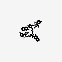 C=C(C=C/C=C1\N(C)c2ccc(C)cc2C1(CC)CCC)C(C)(CCCCCCCC(C)(C(=C)C=C/C=C1/N(C)c2ccc(C)cc2C1(CC)CCC)c1cc2ccccc2cc1C)c1cc2ccccc2cc1C